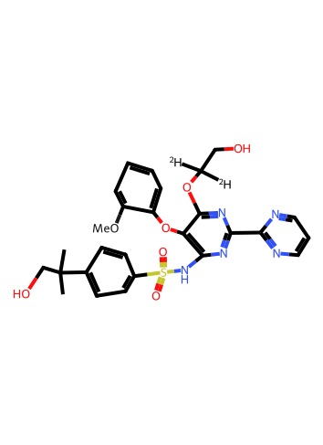 [2H]C([2H])(CO)Oc1nc(-c2ncccn2)nc(NS(=O)(=O)c2ccc(C(C)(C)CO)cc2)c1Oc1ccccc1OC